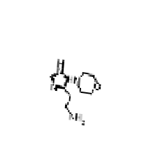 C1COCCN1.NCCc1c[nH]cn1